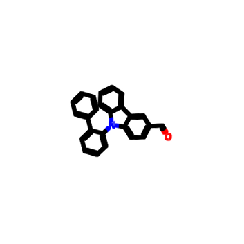 O=Cc1ccc2c(c1)c1ccccc1n2-c1ccccc1-c1ccccc1